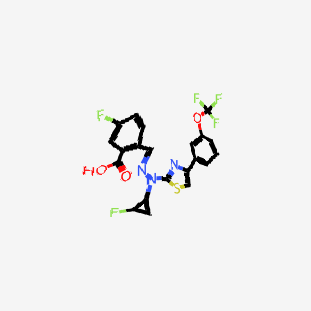 O=C(O)c1cc(F)ccc1/C=N/N(c1nc(-c2cccc(OC(F)(F)F)c2)cs1)C1CC1F